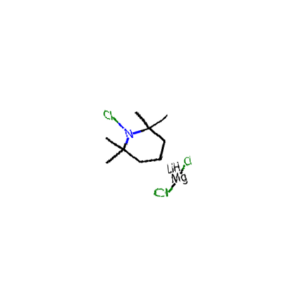 CC1(C)CCCC(C)(C)N1Cl.[Cl][Mg][Cl].[LiH]